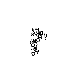 CCOC(=O)c1c(CCCOc2cccc3ccccc23)c2ccc(Cl)c3c2n1CCCCOC(CCO)c1nn(C)c(C)c1-3